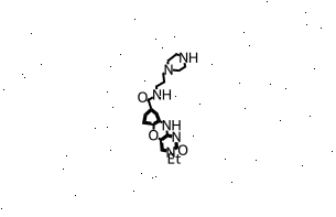 CCn1cc2c(nc1=O)Nc1cc(C(=O)NCCCN3CCNCC3)ccc1O2